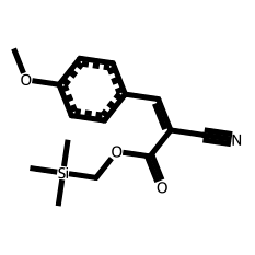 COc1ccc(C=C(C#N)C(=O)OC[Si](C)(C)C)cc1